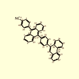 N#Cc1ccc(-c2c3ccccc3c(-c3ccc(-c4cc5ccccc5c5ccccc45)cc3)c3ccccc23)cc1